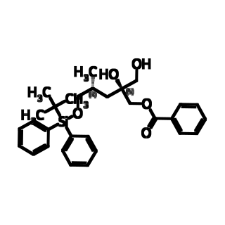 C[C@@H](CO[Si](c1ccccc1)(c1ccccc1)C(C)(C)C)C[C@](O)(CO)COC(=O)c1ccccc1